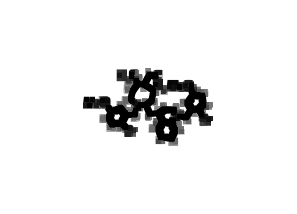 C=CC1CCC(Cc2cc[n+](Cc3cc(OC)ccc3Br)c3ccccc23)N(Cc2cc(OC)ccc2Br)CCC1C